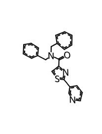 O=C(c1csc(-c2cccnc2)n1)N(Cc1ccccc1)Cc1ccccc1